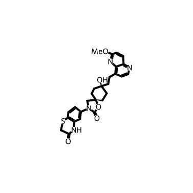 COc1ccc2nccc(CC[C@]3(O)CC[C@]4(CC3)CN(c3ccc5c(c3)NC(=O)CS5)C(=O)O4)c2n1